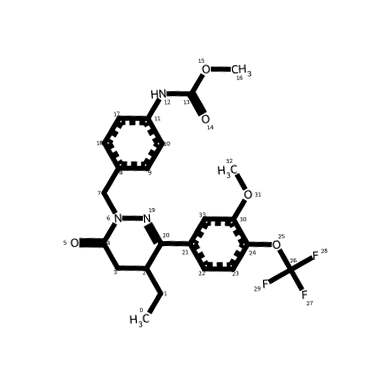 CCC1CC(=O)N(Cc2ccc(NC(=O)OC)cc2)N=C1c1ccc(OC(F)(F)F)c(OC)c1